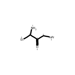 [CH2]CC(N)C(=O)CCCC